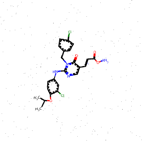 CC(C)Oc1ccc(Nc2ncc(/C=C/C(=O)ON)c(=O)n2Cc2ccc(Cl)cc2)cc1Cl